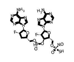 Nc1ncnc2c1ncn2[C@@H]1O[C@H](CO[P@@](=O)(S)N=O)[C@@H](O[PH](=O)OC[C@@H]2C[C@H](F)[C@H](n3cnc4c(N)ncnc43)O2)[C@@H]1F